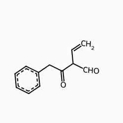 C=CC(C=O)C(=O)Cc1ccccc1